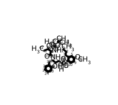 CCCCc1cc(OC)ccc1S(=O)(=O)NC[C@@H](O)[C@H](Cc1ccccc1)NC(=O)[C@@H](NC(=O)OC(C)(C)C)[C@@H](C)CC